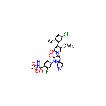 COc1cn([C@@H](Cc2ccncc2)C(=O)Nc2ccc(C(=O)NS(C)(=O)=O)c(F)c2)c(=O)cc1-c1cc(Cl)ccc1C(C)=O